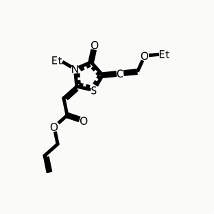 C=CCOC(=O)/C=c1\sc(=C=COCC)c(=O)n1CC